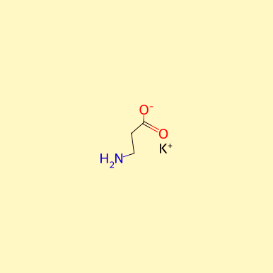 NCCC(=O)[O-].[K+]